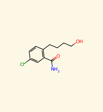 NC(=O)c1cc(Cl)ccc1CCCCO